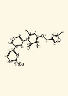 Cc1nc(COc2cc(C)n(-c3cncc(-c4ccnc(C(C)(C)C)n4)c3)c(=O)c2Cl)co1